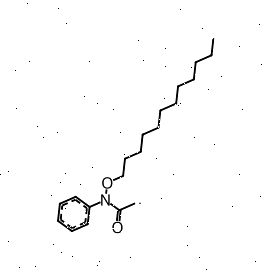 [CH2]C(=O)N(OCCCCCCCCCCCC)c1ccccc1